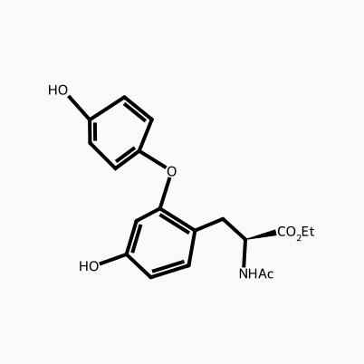 CCOC(=O)[C@H](Cc1ccc(O)cc1Oc1ccc(O)cc1)NC(C)=O